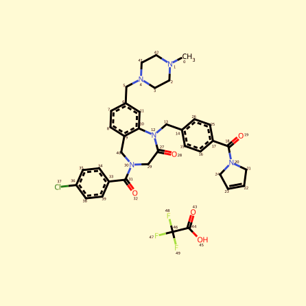 CN1CCN(Cc2ccc3c(c2)N(Cc2ccc(C(=O)N4CC=CC4)cc2)C(=O)CN(C(=O)c2ccc(Cl)cc2)C3)CC1.O=C(O)C(F)(F)F